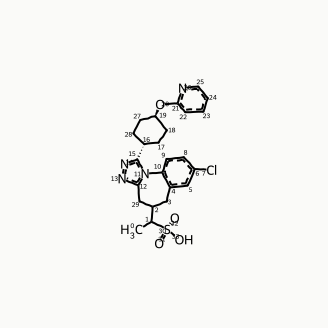 CC(C1Cc2cc(Cl)ccc2-n2c(nnc2[C@H]2CC[C@H](Oc3ccccn3)CC2)C1)S(=O)(=O)O